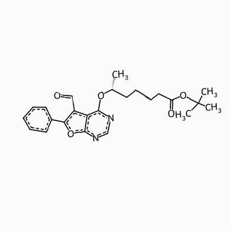 C[C@H](CCCCC(=O)OC(C)(C)C)Oc1ncnc2oc(-c3ccccc3)c(C=O)c12